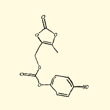 Cc1oc(=O)oc1COC(=O)Oc1ccc(N=O)cc1